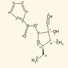 C#C[C@]1(O)C(OC(=O)c2ccccc2)O[C@H](CC)[C@H]1C